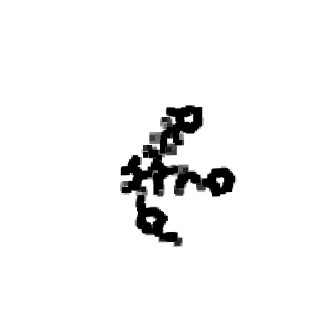 C=C(C)C(C(=O)OCc1ccc([N+](=O)[O-])cc1)N1C(=O)C(NC(=O)COc2ccccc2)C1[S+]([O-])NNS(=O)(=O)c1ccccc1C